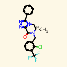 C[C@H]1Cn2c(nnc2-c2ccccc2)C(=O)N1Cc1cccc(C(F)(F)F)c1Cl